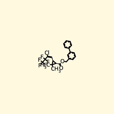 CC1(C)[C@H](C(=O)OCc2cccc(-c3ccccc3)c2)[C@@H]1/C=C(/Cl)C(F)(F)C(F)(F)F